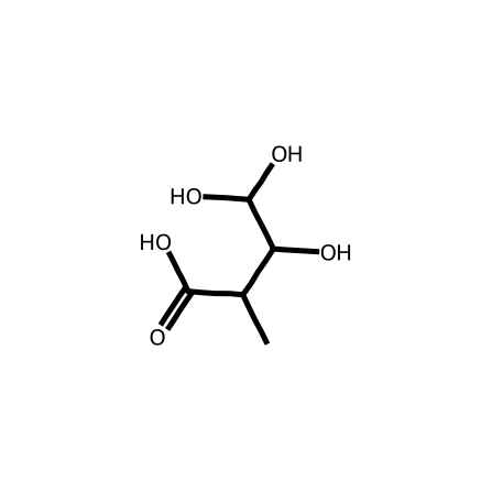 CC(C(=O)O)C(O)C(O)O